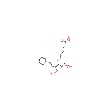 COC(=O)CCCCCCC1=C(C=Cc2ccccc2)C(O)CC1=NO